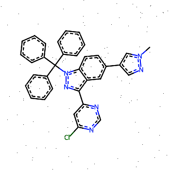 Cn1cc(-c2ccc3c(c2)c(-c2cc(Cl)ncn2)nn3C(c2ccccc2)(c2ccccc2)c2ccccc2)cn1